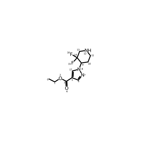 CCOC(=O)c1cnn(C2CCNCC2(F)F)c1